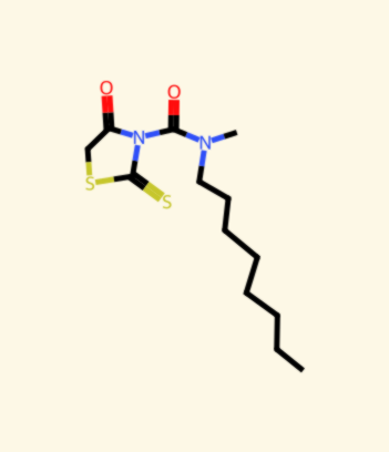 CCCCCCCCN(C)C(=O)N1C(=O)CSC1=S